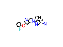 Cc1cc(C#N)cnc1N1CCc2ncc(Oc3ccccc3F)cc2C1